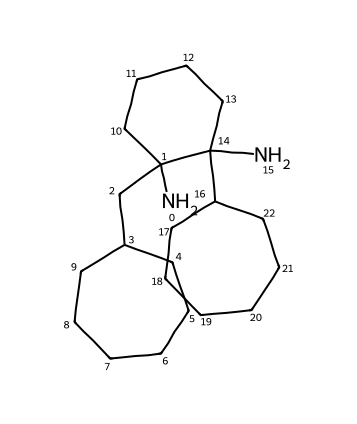 NC1(CC2CCCCCC2)CCCCC1(N)C1CCCCCC1